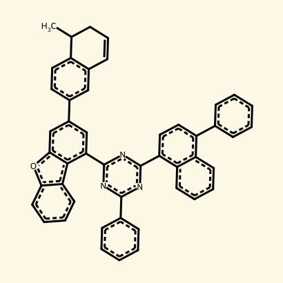 CC1CC=Cc2cc(-c3cc(-c4nc(-c5ccccc5)nc(-c5ccc(-c6ccccc6)c6ccccc56)n4)c4c(c3)oc3ccccc34)ccc21